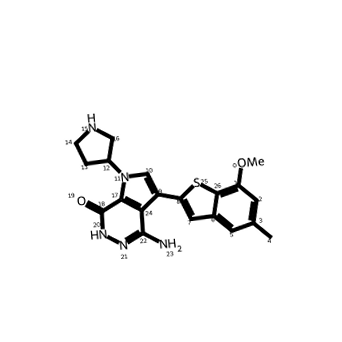 COc1cc(C)cc2cc(-c3cn(C4CCNC4)c4c(=O)[nH]nc(N)c34)sc12